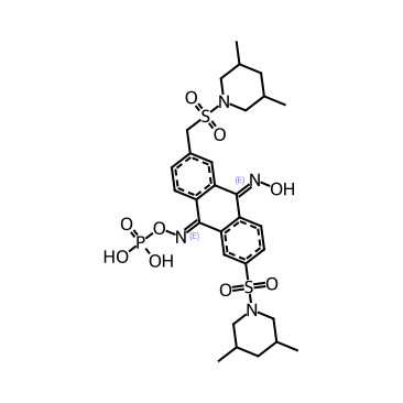 CC1CC(C)CN(S(=O)(=O)Cc2ccc3c(c2)/C(=N/O)c2ccc(S(=O)(=O)N4CC(C)CC(C)C4)cc2/C3=N/OP(=O)(O)O)C1